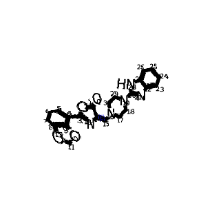 O=C1OC(c2cccc3c2OCO3)=N/C1=C/N1CCN(c2nc3ccccc3[nH]2)CC1